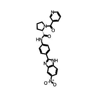 O=C(Nc1ccc(-c2nc3cc([N+](=O)[O-])ccc3[nH]2)cc1)[C@@H]1CCCN1C(=O)c1cccnc1